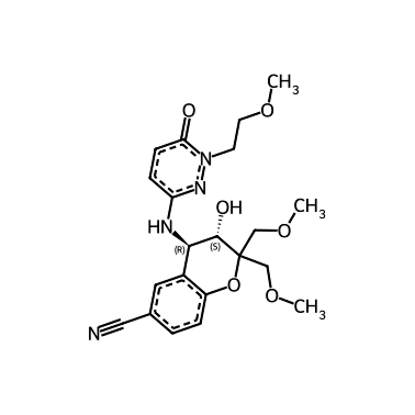 COCCn1nc(N[C@@H]2c3cc(C#N)ccc3OC(COC)(COC)[C@H]2O)ccc1=O